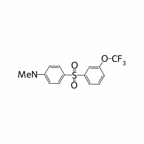 CNc1ccc(S(=O)(=O)c2cccc(OC(F)(F)F)c2)cc1